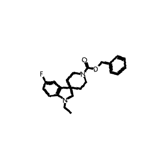 CCN1CC2(CCN(C(=O)OCc3ccccc3)CC2)c2cc(F)ccc21